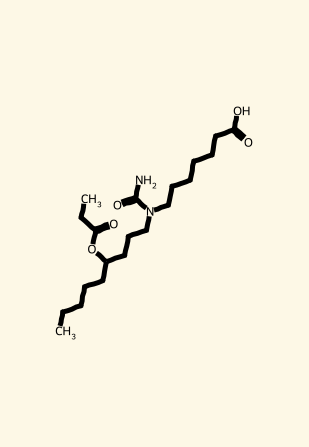 CCCCCC(CCCN(CCCCCCC(=O)O)C(N)=O)OC(=O)CC